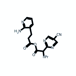 CCCC(C(=O)OC(=O)CCc1cccnc1N)c1ncc(C#N)cn1